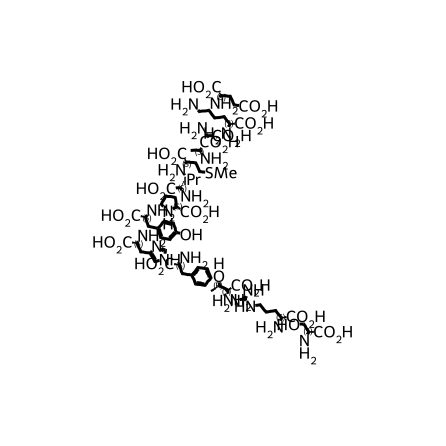 CC(C)[C@H](N)C(=O)O.CSCC[C@H](N)C(=O)O.C[C@@H](O)[C@H](N)C(=O)O.C[C@H](N)C(=O)O.N=C(N)NCCC[C@H](N)C(=O)O.NCC(=O)O.NCCCC[C@H](N)C(=O)O.N[C@@H](CCC(=O)O)C(=O)O.N[C@@H](CO)C(=O)O.N[C@@H](Cc1c[nH]cn1)C(=O)O.N[C@@H](Cc1ccc(O)cc1)C(=O)O.N[C@@H](Cc1ccccc1)C(=O)O.O=C(O)[C@@H]1CCCN1